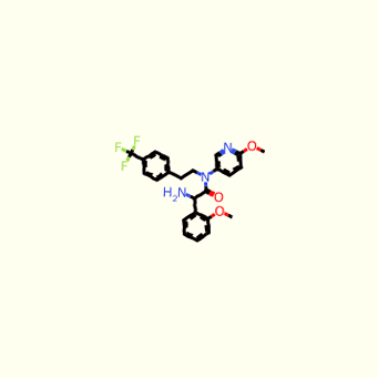 COc1ccc(N(CCc2ccc(C(F)(F)F)cc2)C(=O)C(N)c2ccccc2OC)cn1